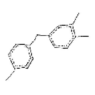 Cc1ccc(Cc2ccc(C)c(C)c2)cc1